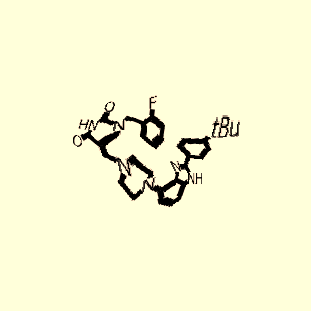 CC(C)(C)c1ccc(-c2nc3c(N4CCN(Cc5cn(Cc6ccccc6F)c(=O)[nH]c5=O)CC4)cccc3[nH]2)cc1